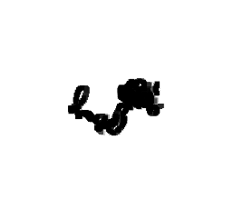 CC(=O)SCCOC(C)C(=O)OCc1ccc(CO)c([N+](=O)[O-])c1